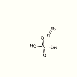 O=S(=O)(O)O.[O]=[Sb]